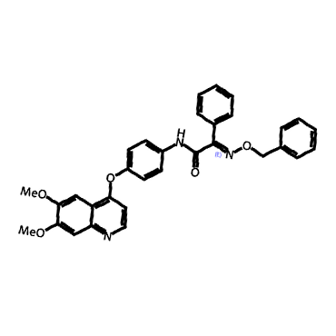 COc1cc2nccc(Oc3ccc(NC(=O)/C(=N/OCc4ccccc4)c4ccccc4)cc3)c2cc1OC